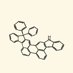 c1ccc(C2(c3ccccc3)c3ccccc3-c3c2cc2c4cc5[nH]c6ccccc6c5c5cccc(c6cccc3c62)c45)cc1